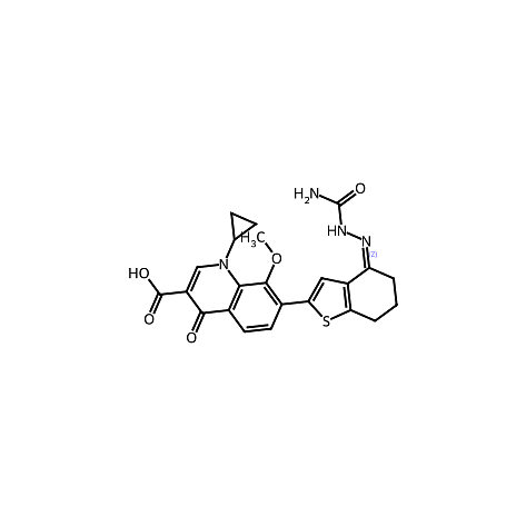 COc1c(-c2cc3c(s2)CCC/C3=N/NC(N)=O)ccc2c(=O)c(C(=O)O)cn(C3CC3)c12